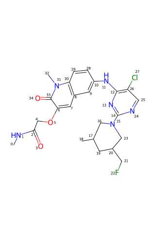 CNC(=O)COc1cc2cc(Nc3nc(N4CC(C)CC(CF)C4)ncc3Cl)ccc2n(C)c1=O